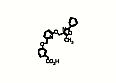 Cc1oc(-c2ccccc2)nc1COc1cccc(COc2cccc(CC(=O)O)c2)n1